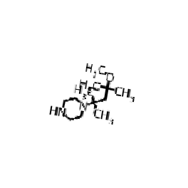 COC(C)(C)CC(C)(C)N1CCNCC1